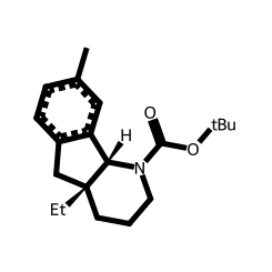 CC[C@]12CCCN(C(=O)OC(C)(C)C)[C@H]1c1cc(C)ccc1C2